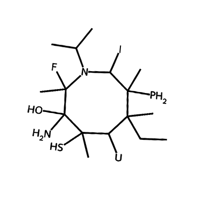 CCC1(C)[CH]([U])C(C)(S)C(N)(O)C(C)(F)N(C(C)C)C(I)C1(C)P